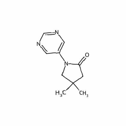 CC1(C)CC(=O)N(c2cncnc2)C1